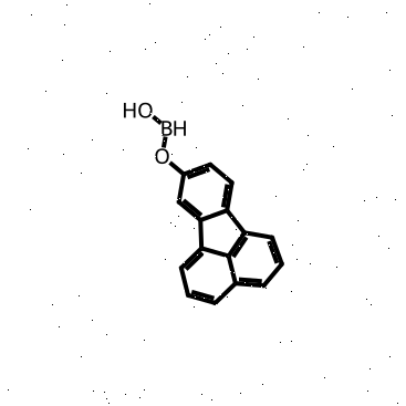 OBOc1ccc2c(c1)-c1cccc3cccc-2c13